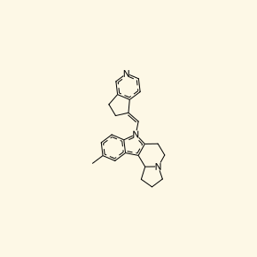 Cc1ccc2c(c1)c1c(n2/C=C2\CCc3cnccc32)CCN2CCCC12